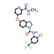 CNC(=O)c1cc(Oc2ccc3c(c2)CCN3C(=O)Nc2cc(C(F)(F)F)ccc2Cl)ccn1